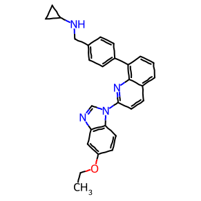 CCOc1ccc2c(c1)ncn2-c1ccc2cccc(-c3ccc(CNC4CC4)cc3)c2n1